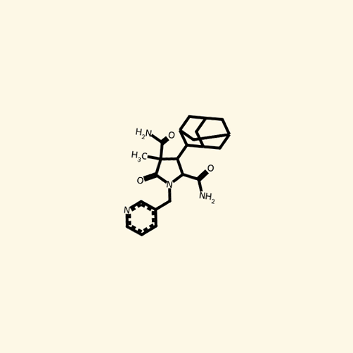 CC1(C(N)=O)C(=O)N(Cc2cccnc2)C(C(N)=O)C1C1C2CC3CC(C2)CC1C3